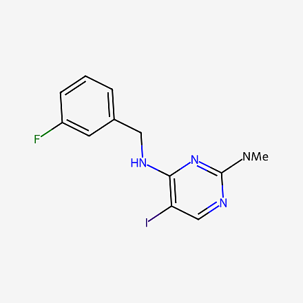 CNc1ncc(I)c(NCc2cccc(F)c2)n1